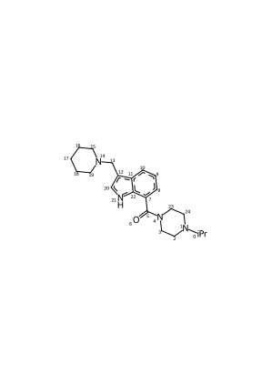 CC(C)N1CCN(C(=O)c2cccc3c(CN4CCCCC4)c[nH]c23)CC1